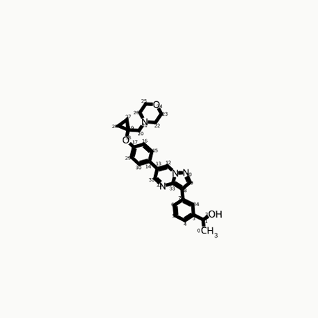 CC(O)c1cccc(-c2cnn3cc(-c4ccc(OC5(CN6CCOCC6)CC5)cc4)cnc23)c1